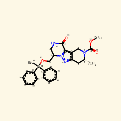 C[C@@H]1Cc2nn3c(c2CN1C(=O)OC(C)(C)C)C(=O)NCC3CO[Si](c1ccccc1)(c1ccccc1)C(C)(C)C